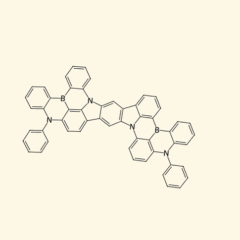 c1ccc(N2c3ccccc3B3c4c2cccc4-n2c4cc5c6ccc7c8c6n(c5cc4c4cccc3c42)-c2ccccc2B8c2ccccc2N7c2ccccc2)cc1